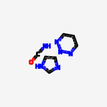 N=C=O.c1c[nH]cn1.c1cnnnc1